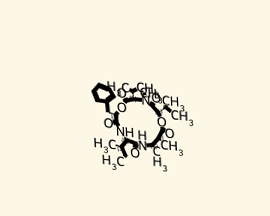 CC[C@H](C)[C@@H]1NC(=O)[C@H](Cc2ccccc2)OC(=O)[C@H](C(C)C)N(C)C(=O)[C@H](C(C)C)OC(=O)[C@H](C)[C@@H](C)NC1=O